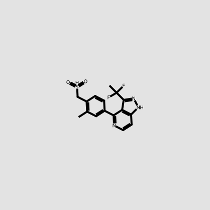 Cc1cc(-c2nccc3[nH]nc(C(C)(F)F)c23)ccc1C[SH](=O)=O